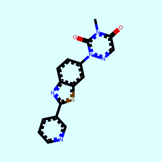 Cn1c(=O)cnn(-c2ccc3nc(-c4cccnc4)sc3c2)c1=O